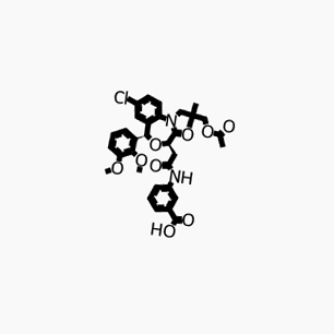 COc1cccc([C@H]2O[C@H](CC(=O)Nc3cccc(C(=O)O)c3)C(=O)N(CC(C)(C)COC(C)=O)c3ccc(Cl)cc32)c1OC